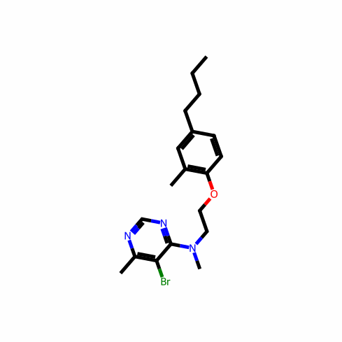 CCCCc1ccc(OCCN(C)c2ncnc(C)c2Br)c(C)c1